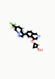 O[C@H]1C[C@H](Oc2cncc3ccc(-c4cnn5cc(C(F)(F)F)ccc45)cc23)C1